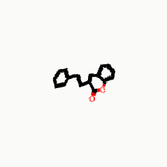 O=c1oc2ccccc2cc1C=Cc1ccccc1